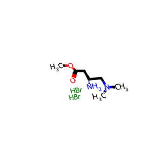 Br.Br.COC(=O)C[C@@H](N)CN(C)C